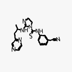 CC(Cc1cnccn1)NC1=NCCN1C(=S)Nc1cccc(C#N)c1